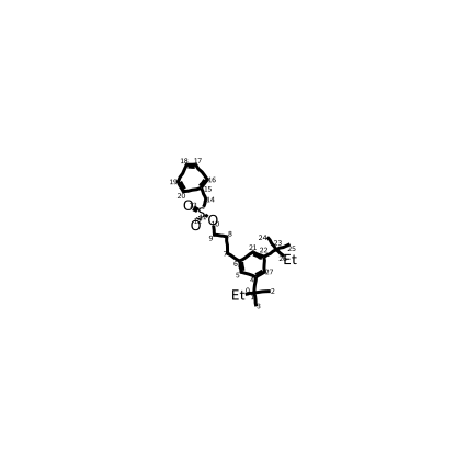 CCC(C)(C)c1cc(CCCOS(=O)(=O)Cc2ccccc2)cc(C(C)(C)CC)c1